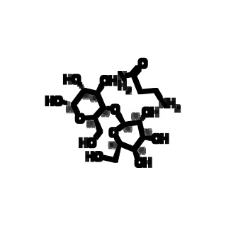 NCCC(N)=O.OC[C@H]1O[C@@H](O[C@H]2[C@H](O)[C@@H](O)[C@@H](O)O[C@@H]2CO)[C@H](O)[C@@H](O)[C@H]1O